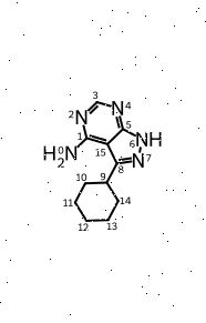 Nc1ncnc2[nH]nc(C3CCCCC3)c12